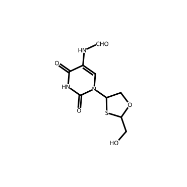 O=CNc1cn(C2COC(CO)S2)c(=O)[nH]c1=O